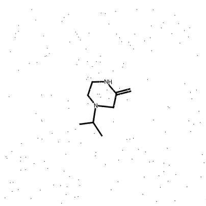 C=C1CN(C(C)C)CCN1